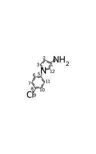 Nc1ccn(-c2ccc(Cl)cc2)c1